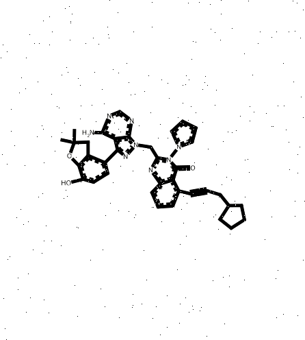 CC1(C)Cc2c(-c3nn(Cc4nc5cccc(C#CCC6CCCC6)c5c(=O)n4-n4cccc4)c4ncnc(N)c34)ccc(O)c2O1